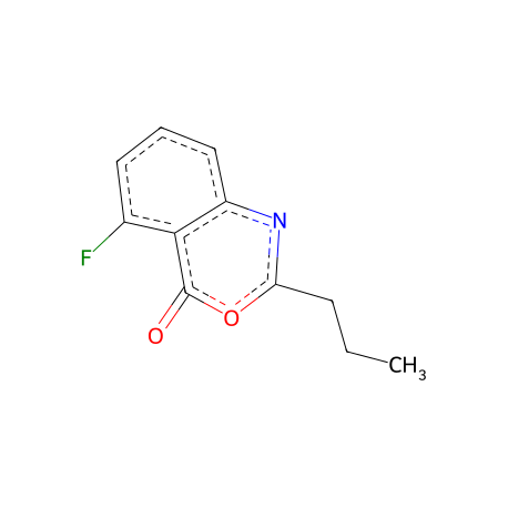 CCCc1nc2cccc(F)c2c(=O)o1